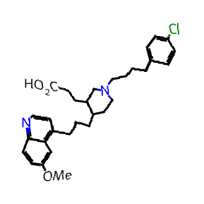 COc1ccc2nccc(CCCC3CCN(CCCCc4ccc(Cl)cc4)CC3CCC(=O)O)c2c1